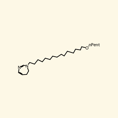 CCCCCOCCCCCCCCCCCCCCCN1C=NC=CCC1